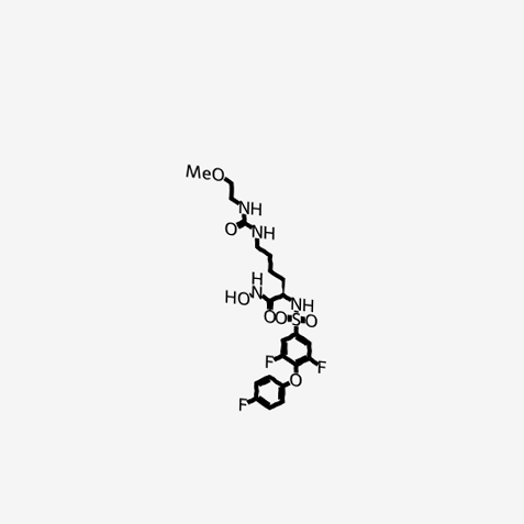 COCCNC(=O)NCCCC[C@@H](NS(=O)(=O)c1cc(F)c(Oc2ccc(F)cc2)c(F)c1)C(=O)NO